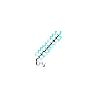 [CH2]CC(F)(F)C(F)(F)C(F)(F)C(F)(F)C(F)(F)C(F)(F)C(F)(F)C(F)(F)C(F)(F)F